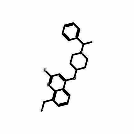 CC(c1ccccc1)N1CCC(Oc2cc(F)nc3c(CF)cccc23)CC1